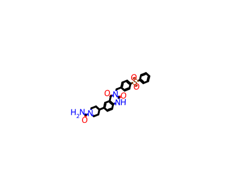 NC(=O)N1CCC(c2ccc3[nH]c(=O)n(Cc4ccc(S(=O)(=O)c5ccccc5)cc4)c(=O)c3c2)CC1